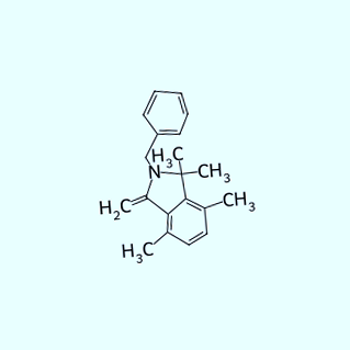 C=C1c2c(C)ccc(C)c2C(C)(C)N1Cc1ccccc1